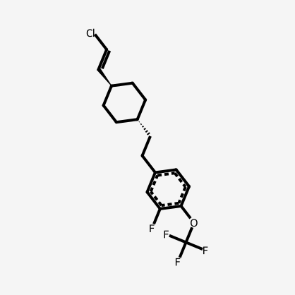 Fc1cc(CC[C@H]2CC[C@H](/C=C/Cl)CC2)ccc1OC(F)(F)F